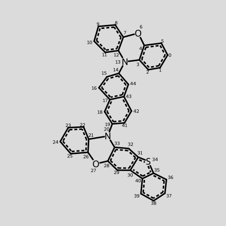 c1ccc2c(c1)Oc1ccccc1N2c1ccc2cc(N3c4ccccc4Oc4cc5c(cc43)sc3ccccc35)ccc2c1